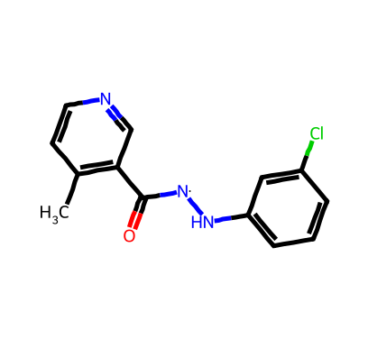 Cc1ccncc1C(=O)[N]Nc1cccc(Cl)c1